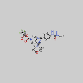 CCNC(=O)Nc1ccc(-c2nc3c(c(N4CCOCC4C)n2)CN(C(=O)OC(=O)C(F)(F)F)C3)cc1